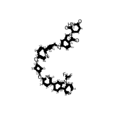 O=C1CCC(N2Cc3cc(OCC#Cc4ccc(O[C@H]5C[C@H](Oc6ccc(-c7ccc8c9cnccc9n(C(F)F)c8c7)cn6)C5)cn4)ccc3C2=O)C(=O)N1